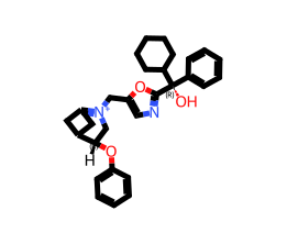 O[C@](c1ccccc1)(c1ncc(C[N+]2=C3CC(C3)[C@@H](Oc3ccccc3)C2)o1)C1CCCCC1